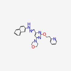 C(=N\Nc1ccc2ccccc2c1)/c1cc(N2CCOCC2)nc(OCCc2ccccn2)n1